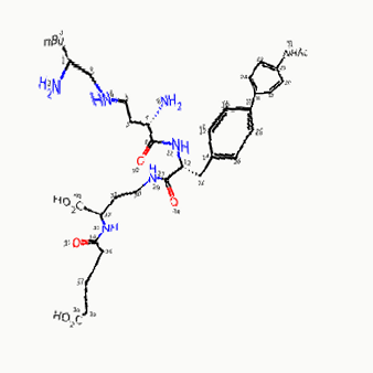 CCCC[C@H](N)CNCC[C@H](N)C(=O)N[C@H](Cc1ccc(-c2ccc(NC(C)=O)cc2)cc1)C(=O)NCC[C@@H](NC(=O)CCCC(=O)O)C(=O)O